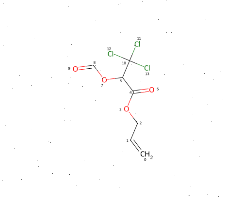 C=CCOC(=O)C(O[C]=O)C(Cl)(Cl)Cl